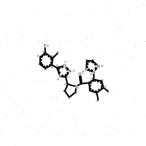 Cc1cc(C(=O)N2CCCC2c2noc(-c3cccc(F)c3C)n2)c(-n2nccn2)cc1C